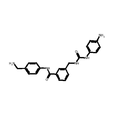 NCc1ccc(NC(=O)c2cccc(CNC(=O)Nc3ccc(N)cc3)c2)cc1